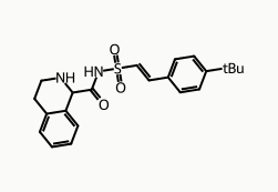 CC(C)(C)c1ccc(C=CS(=O)(=O)NC(=O)C2NCCc3ccccc32)cc1